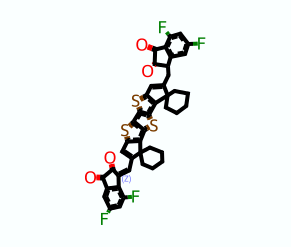 O=C1C(=O)c2cc(F)cc(F)c2/C1=C/C1=Cc2sc3c(sc4c5c(sc43)C=C(CC3C(=O)C(=O)c4c(F)cc(F)cc43)C53CCCCC3)c2C12CCCCC2